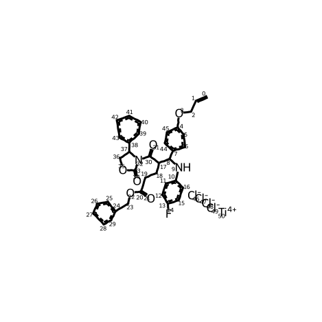 C=CCOc1ccc(C(Nc2ccc(F)cc2)C(CCC(=O)OCc2ccccc2)C(=O)N2C(=O)OCC2c2ccccc2)cc1.[Cl-].[Cl-].[Cl-].[Cl-].[Ti+4]